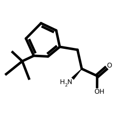 CC(C)(C)c1cccc(C[C@H](N)C(=O)O)c1